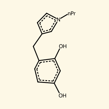 CCCn1ccc(Cc2ccc(O)cc2O)c1